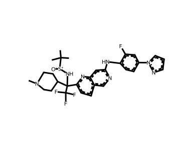 CN1CCC(C(N[S+]([O-])C(C)(C)C)(c2ccc3cnc(Nc4ccc(-n5cccn5)cc4F)cc3n2)C(F)(F)F)CC1